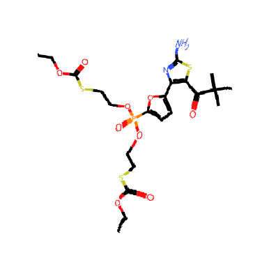 CCOC(=O)SCCOP(=O)(OCCSC(=O)OCC)c1ccc(-c2nc(N)sc2C(=O)C(C)(C)C)o1